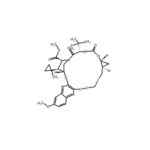 COC(=O)[C@@H]1[C@H](C2(C)CC2)[C@@H]2CN1C(=O)[C@H](C(C)(C)C)NC(=O)O[C@@H]1C[C@H]1CCCCCc1nc3ccc(OC)cc3nc1O2